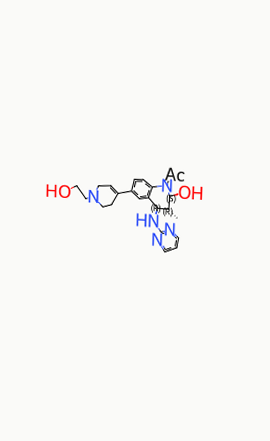 CC(=O)N1c2ccc(C3=CCN(CCO)CC3)cc2[C@H](Nc2ncccn2)[C@@H](C)[C@@H]1O